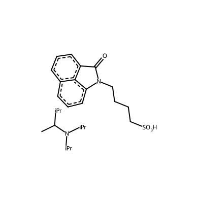 CC(C)C(C)N(C(C)C)C(C)C.O=C1c2cccc3cccc(c23)N1CCCCS(=O)(=O)O